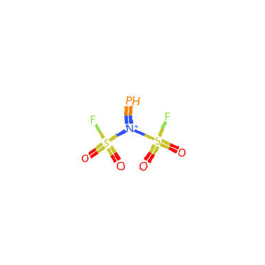 O=S(=O)(F)[N+](=P)S(=O)(=O)F